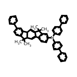 CC1(C)C2=CC3c4cc(-c5ccccc5)ccc4C(C)(C)C3C=C2c2ccc(N(c3ccc(-c4ccccc4)cc3)c3ccc(-c4ccccc4)cc3)cc21